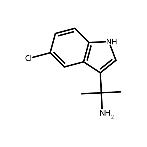 CC(C)(N)c1c[nH]c2ccc(Cl)cc12